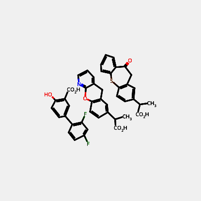 CC(C(=O)O)c1ccc2c(c1)CC(=O)c1ccccc1S2.CC(C(=O)O)c1ccc2c(c1)Cc1cccnc1O2.O=C(O)c1cc(-c2ccc(F)cc2F)ccc1O